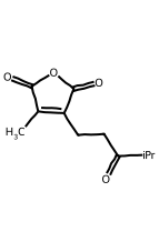 CC1=C(CCC(=O)C(C)C)C(=O)OC1=O